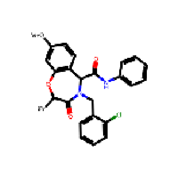 COc1ccc2c(c1)OC(C(C)C)C(=O)N(Cc1ccccc1Cl)C2C(=O)Nc1ccccc1